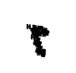 Bc1cnn2c(NCC3CCCN(Cc4cccc5c4CCO5)C3)cc(-c3ccccc3O)nc12